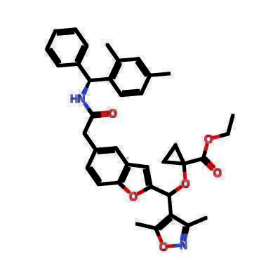 CCOC(=O)C1(OC(c2cc3cc(CC(=O)N[C@@H](c4ccccc4)c4ccc(C)cc4C)ccc3o2)c2c(C)noc2C)CC1